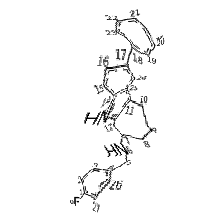 Fc1ccc(CNC2CCCc3c2[nH]c2ccc(-c4ccccc4)cc32)cc1